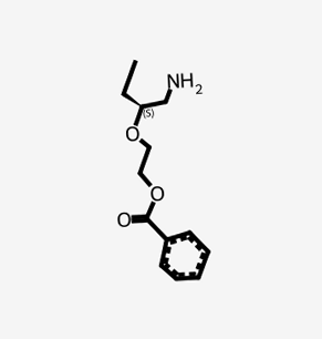 CC[C@@H](CN)OCCOC(=O)c1ccccc1